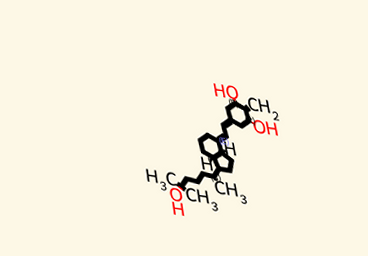 C=C1[C@H](O)CC(=C/C=C2\CCC[C@@H]3C([C@@H](C)CCCC(C)(C)O)CC[C@@H]23)C[C@H]1O